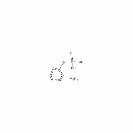 O=P(O)(O)Oc1ccccc1.[MgH2]